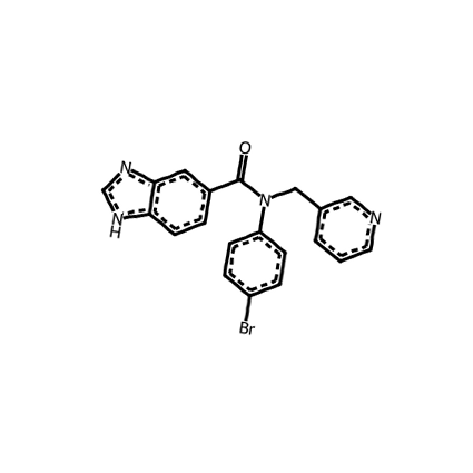 O=C(c1ccc2[nH]cnc2c1)N(Cc1cccnc1)c1ccc(Br)cc1